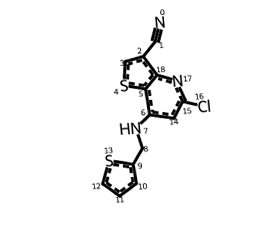 N#Cc1csc2c(NCc3cccs3)cc(Cl)nc12